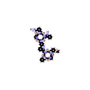 CC(C)(C)Oc1ccc(C[C@@H]2NC(=O)[C@H]3CCCN3C(=O)[C@H](Cc3ccccc3)NC(=O)[C@@H](Cc3c[nH]c4c(-c5cccc(C[C@@H]6NC(=O)[C@@H](Cc7c[nH]c8ccccc78)NC(=O)[C@H](Cc7cccc(C(N)=O)c7)NC(=O)[C@H]7CCCN7C6=O)c5)cccc34)NC2=O)cc1